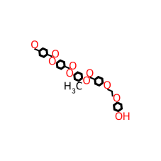 Cc1cc(OC(=O)c2ccc(OC(=O)c3ccc(C=O)cc3)cc2)ccc1OC(=O)c1ccc(OCCCOc2ccc(O)cc2)cc1